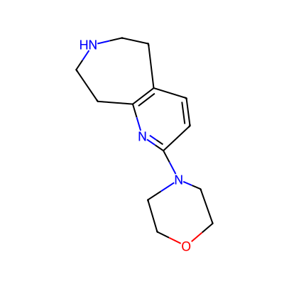 c1cc2c(nc1N1CCOCC1)CCNCC2